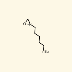 CCCCCCCCCN1CO1